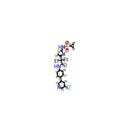 CCC(CC)(C(=O)Nc1ccc(-c2cncc(Cl)c2)cc1)c1csc(NS(=O)(=O)C2CC2)n1